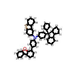 c1ccc(C2(c3ccc(N(c4ccc(-c5cccc6c5oc5ccccc56)cc4)c4ccc5sc6ccccc6c5c4)cc3)c3ccccc3-c3ccccc32)cc1